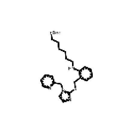 CCCCCCCCCCCCCCCCNc1ccccc1CSc1nccn1Cc1ccccn1